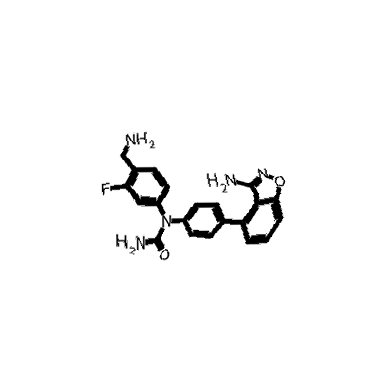 NCc1ccc(N(C(N)=O)c2ccc(-c3cccc4onc(N)c34)cc2)cc1F